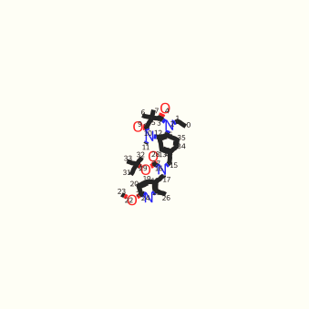 CCN1C(=O)C(C)(C)C(=O)N(C)c2cc(CN(Cc3ccc(OC)nc3C)C(=O)OC(C)(C)C)ccc21